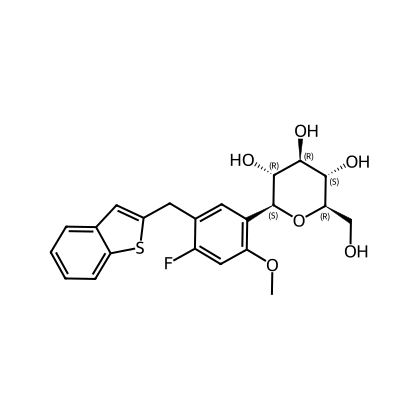 COc1cc(F)c(Cc2cc3ccccc3s2)cc1[C@@H]1O[C@H](CO)[C@@H](O)[C@H](O)[C@H]1O